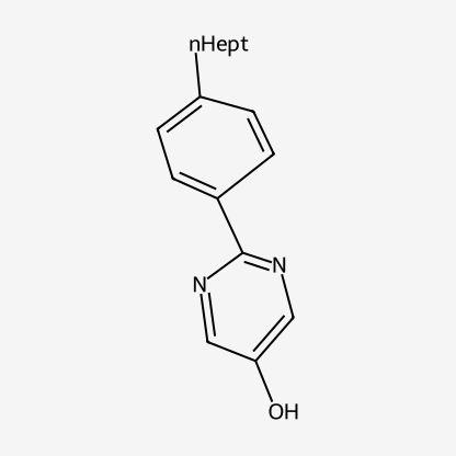 CCCCCCCc1ccc(-c2ncc(O)cn2)cc1